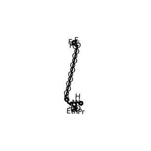 CCCN(OCC)C(=O)C1=Cc2sc(CC3CCN(CCOCCOCCOCCOCCOCCOCCOCCOCCOCCOCCC(=O)Oc4c(F)c(F)cc(F)c4F)CC3)cc2N=C(Nc2ccccc2)C1